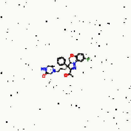 CC(=O)C1=NN2c3cc(F)ccc3OCC2[C@]1(CCCN1CCNC(=O)C1)c1ccccc1